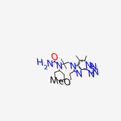 COCCc1nc2c(c(C)c(C)n3nnnc23)n1CC(C)(C)N(C(N)=O)C1CCCCC1